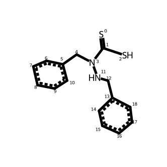 S=C(S)N(Cc1ccccc1)NCc1ccccc1